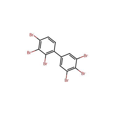 Brc1cc(-c2ccc(Br)c(Br)c2Br)cc(Br)c1Br